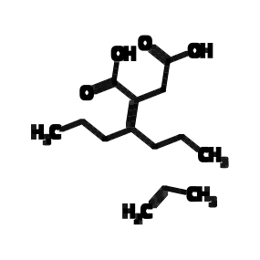 C=CC.CCCC(CCC)=C(CC(=O)O)C(=O)O